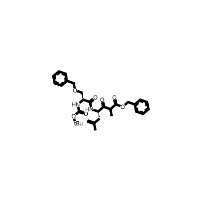 C=C(C)C[C@H](NC(=O)[C@H](COCc1ccccc1)NC(=O)OC(C)(C)C)C(=O)C(C)C(=O)OCc1ccccc1